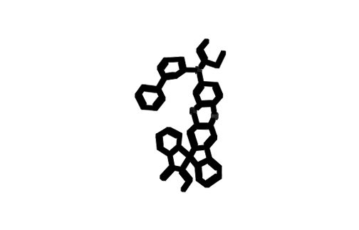 C=C1/C(=C\C)C2(c3ccccc3-c3cc4c(cc32)Oc2cc(N(/C(=C/C)CC)c3cccc(-c5ccccc5)c3)ccc2O4)C2C=CC=CC12